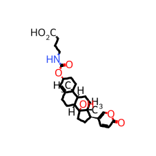 C[C@]12CC[C@H](OC(=O)NCCCC(=O)O)C=C1CC[C@@H]1[C@@H]2CC[C@]2(C)[C@@H](c3ccc(=O)oc3)CC[C@]12O